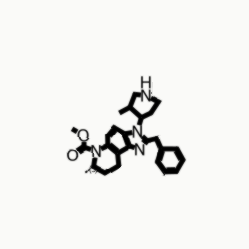 COC(=O)N1c2ccc3c(nc(Cc4ccccc4)n3C3CCNCC3C)c2CC[C@@H]1C